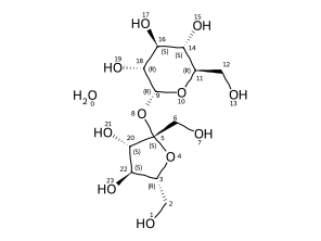 O.OC[C@H]1O[C@@](CO)(O[C@H]2O[C@H](CO)[C@@H](O)[C@H](O)[C@H]2O)[C@@H](O)[C@@H]1O